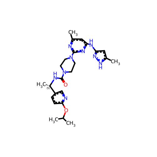 Cc1cc(Nc2cc(C)[nH]n2)nc(N2CCN(C(=O)N[C@@H](C)c3ccc(OC(C)C)nc3)CC2)n1